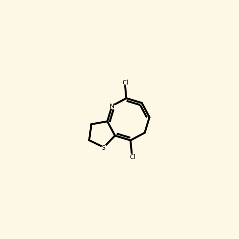 ClC1=C=CC/C(Cl)=C2/SCC/C2=N/1